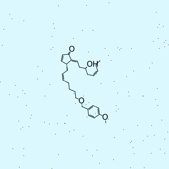 CC/C=C\C[C@H](O)C/C=C1/C(=O)C=C[C@@H]1C/C=C\CCCCOCc1ccc(OC)cc1